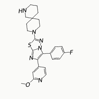 COc1cc(-c2nc3sc(N4CCC5(CCCNC5)CC4)nn3c2-c2ccc(F)cc2)ccn1